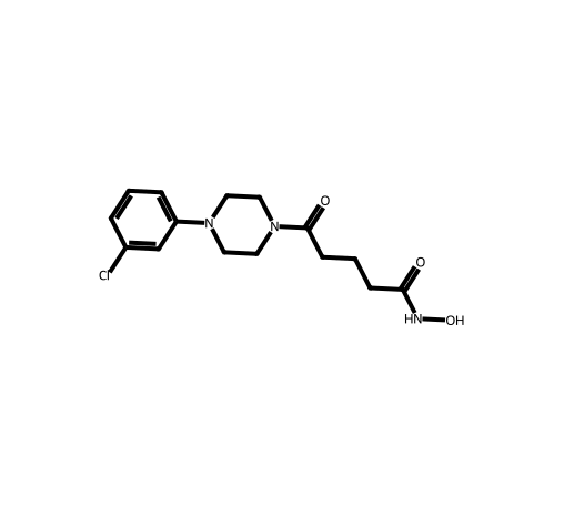 O=C(CCCC(=O)N1CCN(c2cccc(Cl)c2)CC1)NO